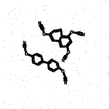 N#COc1ccc(-c2ccc(OC#N)cc2)cc1.N#COc1ccc2c(OC#N)cc(OC#N)cc2c1